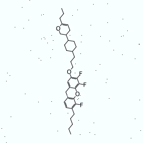 CCCCCc1ccc2c(c1F)Oc1c(cc(OCCCC3CCC(C4CC=C(CCC)OC4)CC3)c(F)c1F)C2